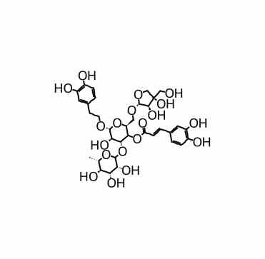 C[C@@H]1OC(O[C@H]2C(OC(=O)/C=C/c3ccc(O)c(O)c3)[C@H](CO[C@@H]3OC[C@](O)(CO)[C@H]3O)O[C@@H](OCCc3ccc(O)c(O)c3)[C@@H]2O)[C@H](O)[C@H](O)[C@H]1O